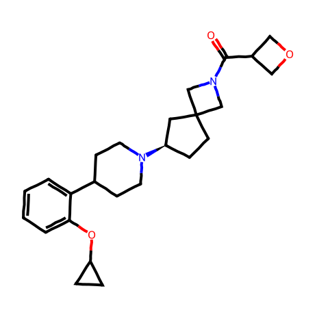 O=C(C1COC1)N1CC2(CC[C@@H](N3CCC(c4ccccc4OC4CC4)CC3)C2)C1